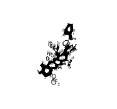 Cc1cc(OC(F)(F)F)c2c(c1C)C(=O)C1=C(O)[C@]3(O[Si](C)(C)C(C)(C)C)C(=O)c4c(OCc5ccccc5)noc4[C@@H](N(C)C)[C@@H]3C[C@@H]1C2